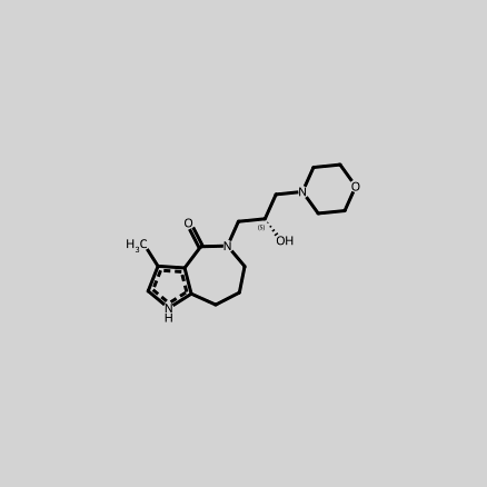 Cc1c[nH]c2c1C(=O)N(C[C@@H](O)CN1CCOCC1)CCC2